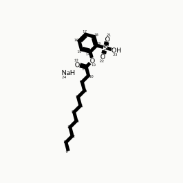 CCCCCCCCCCCC(=O)Oc1ccccc1S(=O)(=O)O.[NaH]